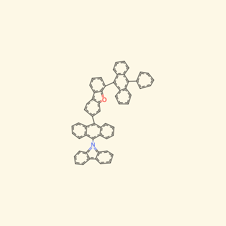 c1ccc(-c2c3ccccc3c(-c3cccc4c3oc3cc(-c5c6ccccc6c(-n6c7ccccc7c7ccccc76)c6ccccc56)ccc34)c3ccccc23)cc1